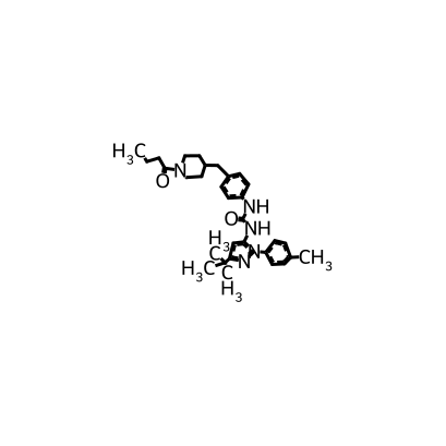 CCCC(=O)N1CCC(Cc2ccc(NC(=O)Nc3cc(C(C)(C)C)nn3-c3ccc(C)cc3)cc2)CC1